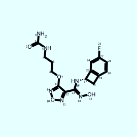 NC(=O)NCCCOc1nonc1/C(=N/O)N[C@H]1Cc2ccc(F)cc21